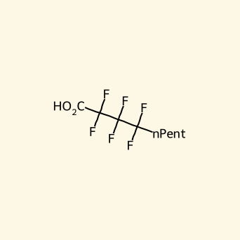 CCCCCC(F)(F)C(F)(F)C(F)(F)C(=O)O